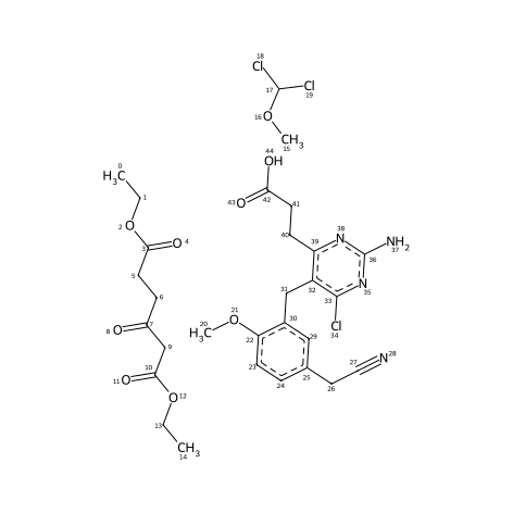 CCOC(=O)CCC(=O)CC(=O)OCC.COC(Cl)Cl.COc1ccc(CC#N)cc1Cc1c(Cl)nc(N)nc1CCC(=O)O